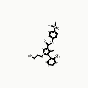 Cc1c(C(=O)Nc2ccc(S(C)(=O)=O)cc2)cn(CCCO)c1-c1ccccc1C(F)(F)F